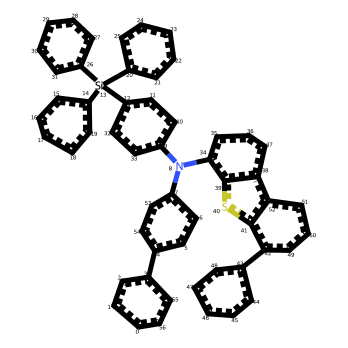 c1ccc(-c2ccc(N(c3ccc([Si](c4ccccc4)(c4ccccc4)c4ccccc4)cc3)c3cccc4c3sc3c(-c5ccccc5)cccc34)cc2)cc1